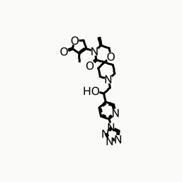 C=C1COC2(CCN(CC(O)c3ccc(-n4cnnn4)nc3)CC2)C(=O)N1C1=C(C)C(=O)OC1